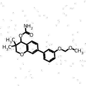 COCOc1cccc(-c2ccc3c(c2)OCC(C)(C)C3OC(N)=O)c1